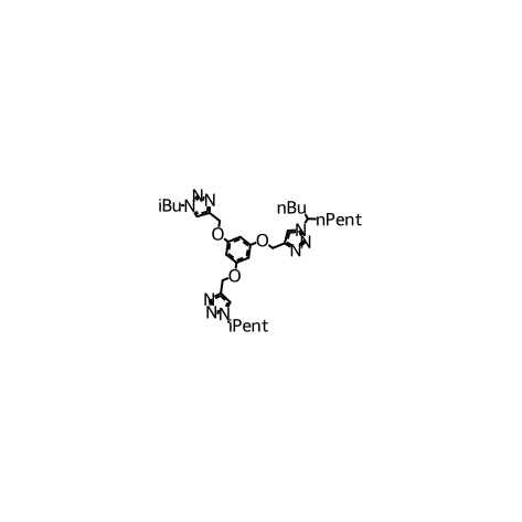 CCCCCC(CCCC)n1cc(COc2cc(OCc3cn(C(C)CC)nn3)cc(OCc3cn(C(C)CCC)nn3)c2)nn1